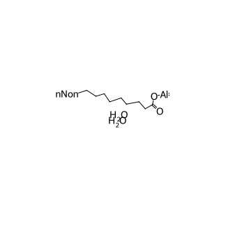 CCCCCCCCCCCCCCCCCC(=O)[O][Al].O.O